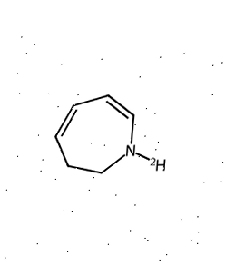 [2H]N1C=CC=CCC1